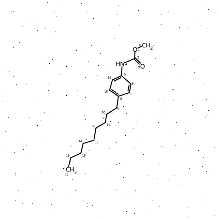 [CH2]OC(=O)Nc1ccc(CCCCCCCCC)cc1